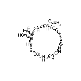 NC(=O)C1CCCCCCCNCCNCCNCCNCCNCCNCCNCCN1.O=C(O)C(F)(F)F